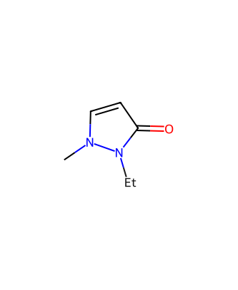 CCn1c(=O)ccn1C